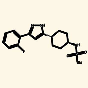 CC(C)(C)S(=O)(=O)N[C@H]1CC[C@H](c2cc(-c3ccccc3F)n[nH]2)CC1